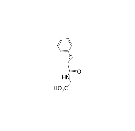 O=C(O)CNC(=O)COc1ccccc1